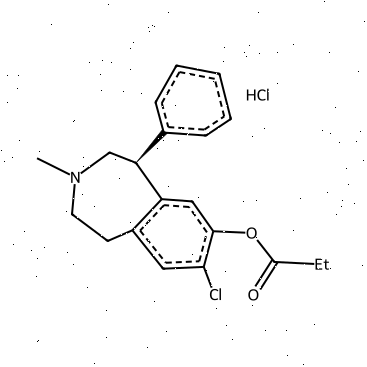 CCC(=O)Oc1cc2c(cc1Cl)CCN(C)C[C@H]2c1ccccc1.Cl